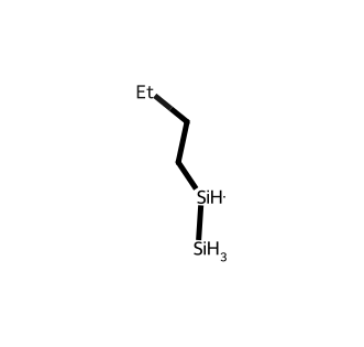 CCCC[SiH][SiH3]